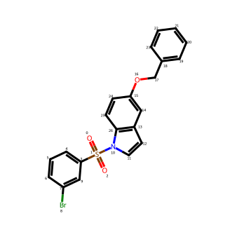 O=S(=O)(c1cccc(Br)c1)n1ccc2cc(OCc3ccccc3)ccc21